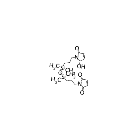 C[Si](C)(CCCN1C(=O)C=CC1=O)O[Si](C)(C)CCCN1C(=O)C=CC1O